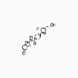 O=C(Nc1nc2ccc(Cl)cc2s1)N1CCN(c2ncc(CCO)cc2F)CC1